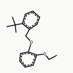 CCOc1ccccc1OCc1ccccc1C(C)(C)C